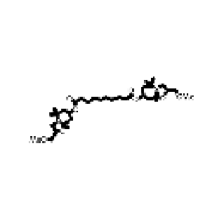 COCC1CN2C(C)(C)CC(OC(=O)CCCCCCCCC(=O)OC3CC(C)(C)N4CC(COC)OC4(C)C3)CC2(C)O1